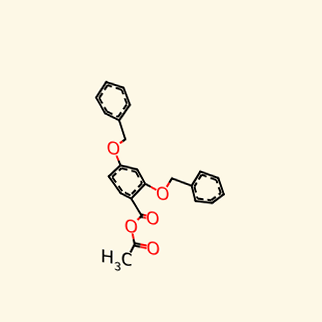 CC(=O)OC(=O)c1ccc(OCc2ccccc2)cc1OCc1ccccc1